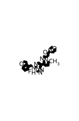 Cc1ccc(-c2cnc(NCc3c(F)ccc4c3CCO4)n3cnnc23)c2ncc(CC(=O)N3CCOCC3)n12